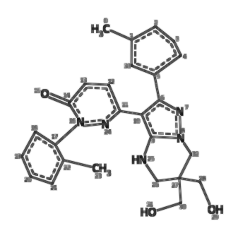 Cc1cccc(-c2nn3c(c2-c2ccc(=O)n(-c4ccccc4C)n2)NCC(CO)(CO)C3)c1